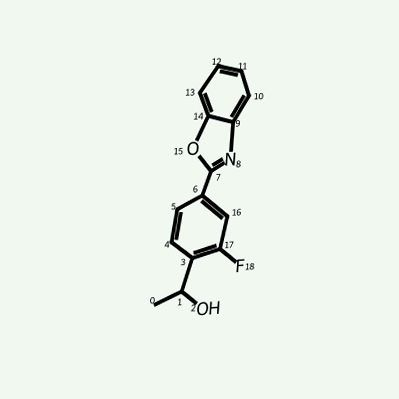 CC(O)c1ccc(-c2nc3ccccc3o2)cc1F